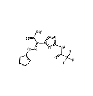 O=C(O)C(=NOC1=CCCC1)c1csc(NC(=O)C(F)(F)F)n1